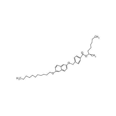 CCCCCCCCCCCOc1ccc2cc(OCc3ccc(C(=O)O[C@H](C)CCCCCC)cc3)ccc2c1